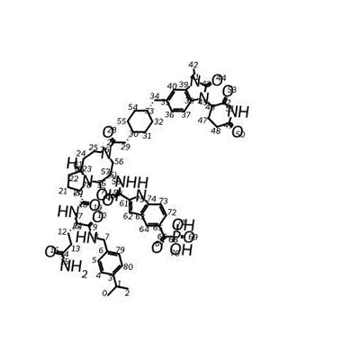 CC(C)c1ccc(CNC(=O)[C@H](CCC(N)=O)NC(=O)[C@@H]2CC[C@@H]3CCN(C(=O)C[C@H]4CC[C@@H](Cc5ccc6c(c5)n(C)c(=O)n6C5CCC(=O)NC5=O)CC4)C[C@H](NC(=O)c4cc5cc(C(=O)P(=O)(O)O)ccc5[nH]4)C(O)N32)cc1